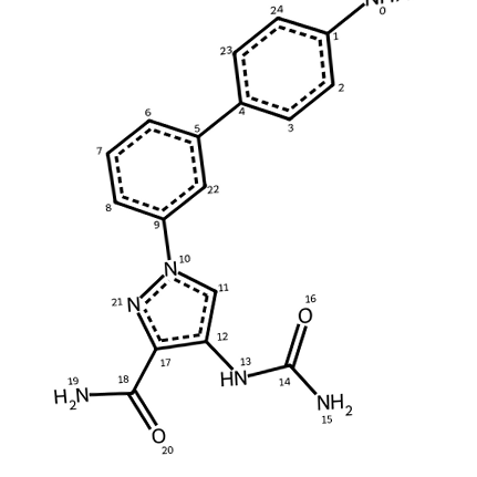 CC(=O)Nc1ccc(-c2cccc(-n3cc(NC(N)=O)c(C(N)=O)n3)c2)cc1